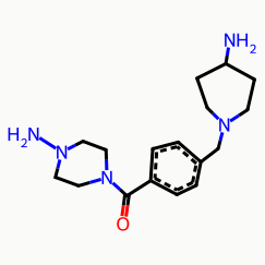 NC1CCN(Cc2ccc(C(=O)N3CCN(N)CC3)cc2)CC1